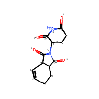 O=C1CCC(N2C(=O)C3C=CCCC3C2=O)C(=O)N1